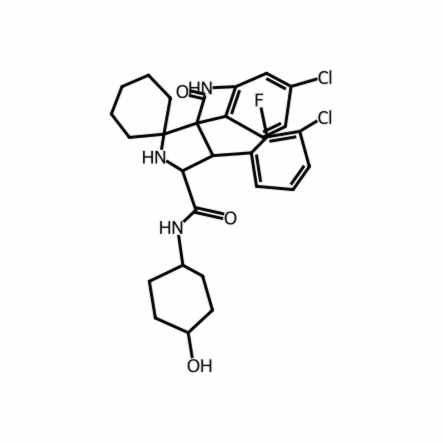 O=C(NC1CCC(O)CC1)C1NC2(CCCCC2)C2(C(=O)Nc3cc(Cl)ccc32)C1c1cccc(Cl)c1F